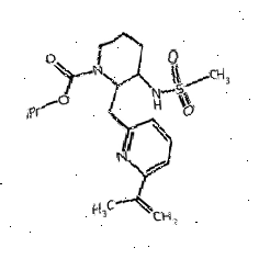 C=C(C)c1cccc(CC2C(NS(C)(=O)=O)CCCN2C(=O)OC(C)C)n1